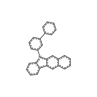 c1ccc(-c2cccc(-n3c4ccccc4c4cc5ccccc5cc43)c2)cc1